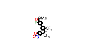 COC(=O)c1ccc(-c2ccc([C@@H](C)C(c3ccc4oc(=O)n(C)c4c3)C(F)(F)F)c(C(F)(F)F)c2)cc1F